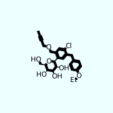 CC#CCOCc1cc(Cl)c(Cc2ccc(OCC)cc2)cc1[C@@H]1O[C@H](CO)[C@@H](O)[C@H](O)[C@H]1O